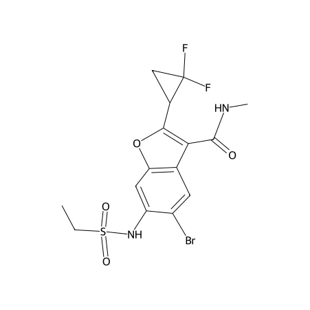 CCS(=O)(=O)Nc1cc2oc(C3CC3(F)F)c(C(=O)NC)c2cc1Br